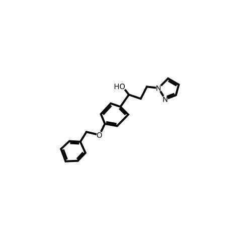 OC(CCn1cccn1)c1ccc(OCc2ccccc2)cc1